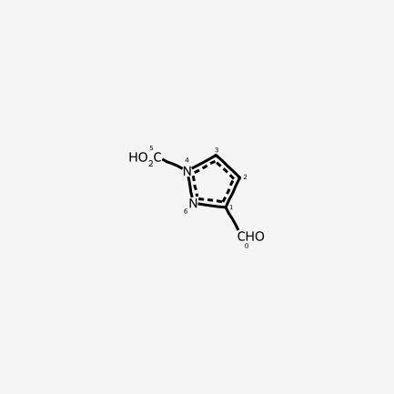 O=Cc1ccn(C(=O)O)n1